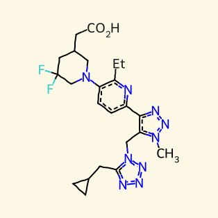 CCc1nc(-c2nnn(C)c2Cn2nnnc2CC2CC2)ccc1N1CC(CC(=O)O)CC(F)(F)C1